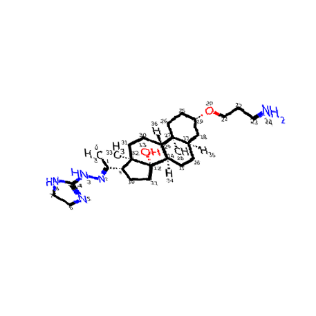 C/C(=N\NC1=NCCN1)[C@H]1CC[C@]2(O)[C@@H]3CC[C@@H]4C[C@@H](OCCCN)CC[C@]4(C)[C@H]3CC[C@]12C